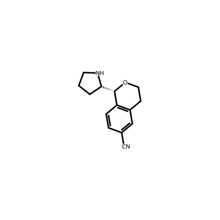 N#Cc1ccc2c(c1)CCO[C@H]2C1CCCN1